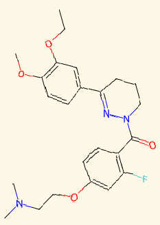 CCOc1cc(C2=NN(C(=O)c3ccc(OCCN(C)C)cc3F)CCC2)ccc1OC